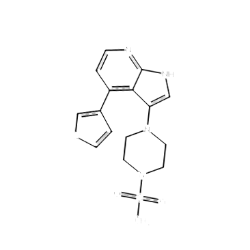 CS(=O)(=O)N1CCN(c2c[nH]c3nccc(-c4ccsc4)c23)CC1